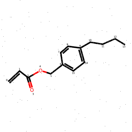 C=CC(=O)OCc1ccc(CCCC)cc1